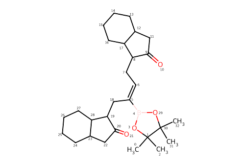 CC1(C)OB(C(=CCC2C(=O)CC3CCCCC32)CC2C(=O)CC3CCCCC32)OC1(C)C